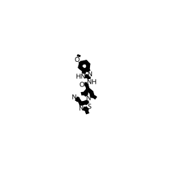 COc1ccc2nc(NC(=O)c3cc(C)n(-c4sc(C)nc4C#N)c3C)[nH]c2c1